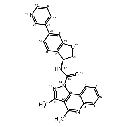 Cc1nc2ccccc2c2c1c(C)nn2C(=O)N[C@@H]1COc2cc(-c3cccnc3)ccc21